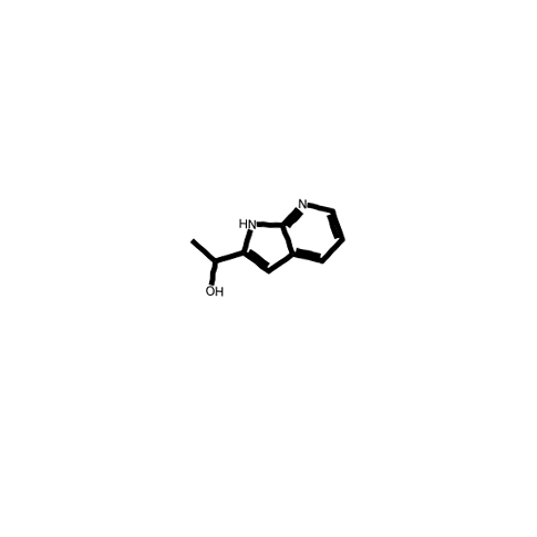 CC(O)c1cc2cccnc2[nH]1